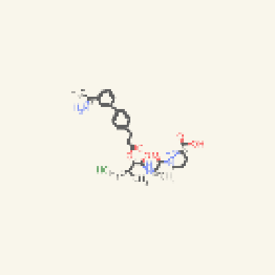 CC(C)[C@H](OC(=O)CCc1ccc(-c2cccc([C@@H](C)N)c2)cc1)C(=O)N[C@@H](C)C(=O)N1CCC[C@@H](C(=O)O)N1.Cl